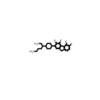 CCCCC(CC)C1CCC(c2cc3c(c(F)c2F)-c2c(ccc(F)c2F)C3)CC1